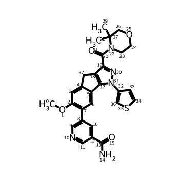 COc1cc2c(cc1-c1cncc(C(N)=O)c1)-c1c(c(C(=O)N3CCOCC3(C)C)nn1-c1ccsc1)C2